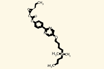 CCCC[Si](C)(C)CCCCOc1cnc(-c2ccc(OC(=O)O[C@H]3O[C@@H]3CCC)cc2)nc1